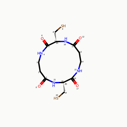 O=C1CCNC(=O)[C@H](CS)NC(=O)CCNC(=O)[C@H](CS)N1